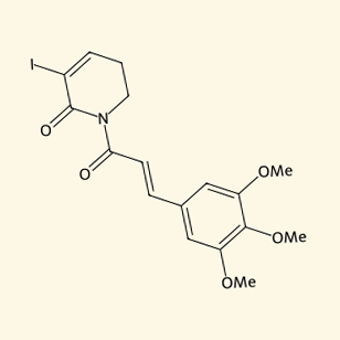 COc1cc(/C=C/C(=O)N2CCC=C(I)C2=O)cc(OC)c1OC